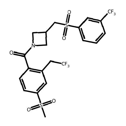 CS(=O)(=O)c1ccc(C(=O)N2CC(CS(=O)(=O)c3cccc(C(F)(F)F)c3)C2)c(CC(F)(F)F)c1